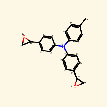 Cc1ccc(N(c2ccc(C3CO3)cc2)c2ccc(C3CO3)cc2)cc1